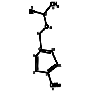 COc1ccc(COC(C)Br)cc1